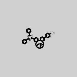 N#Cc1ccc(-c2ccc3c(c2)CC2CC4CC(Cc5cc(-c6nc(-c7ccccc7)nc(-c7ccccc7)n6)ccc5-3)CC(C2)C4)cc1